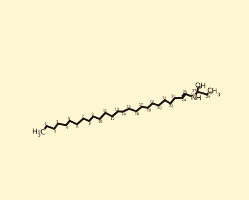 CCCCCCCCCCCCCCCCCCCCCCCCC=CNC(O)CC